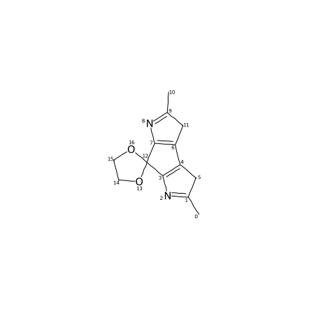 CC1=NC2=C(C1)C1=C(N=C(C)C1)C21OCCO1